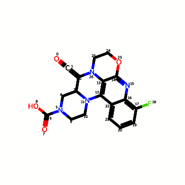 O=C=C1C2CN(C(=O)O)CCN2c2c3c(nc4c(F)cccc24)OCCN13